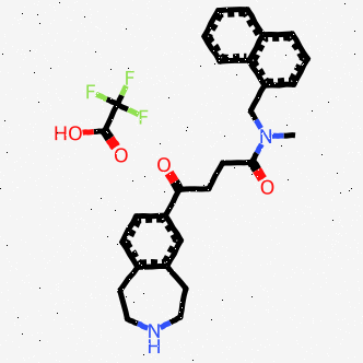 CN(Cc1cccc2ccccc12)C(=O)CCC(=O)c1ccc2c(c1)CCNCC2.O=C(O)C(F)(F)F